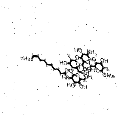 CCCCCC/C=C\CCCCCCCC(=O)NC1[C@H](O[C@H]2C(CO)O[C@H](OC3C(CO)O[C@@H](O[C@H]4C(CO)O[C@H](OC)[C@H](C)C4O)C(N)[C@H]3O)[C@H](C)C2O)OC(CO)C(O)[C@@H]1O